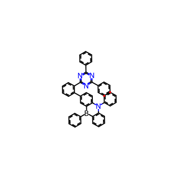 c1ccc(B2c3ccccc3N(c3ccccc3)c3ccc(-c4ccccc4-c4nc(-c5ccccc5)nc(-c5ccccc5)n4)cc32)cc1